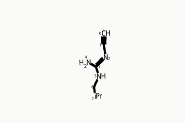 C#C/N=C(\N)NCC(C)C